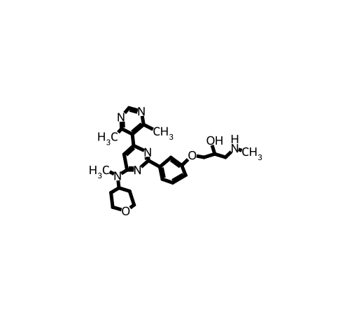 CNCC(O)COc1cccc(-c2nc(-c3c(C)ncnc3C)cc(N(C)C3CCOCC3)n2)c1